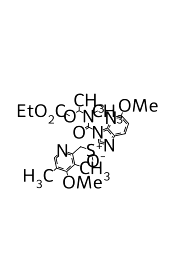 CCOC(=O)OC(C)N(C)C(=O)n1c([S+]([O-])Cc2ncc(C)c(OC)c2C)nc2ccc(OC)nc21